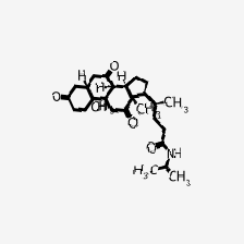 CC(C)NC(=O)CC[C@H](C)[C@@H]1CC[C@@H]2[C@H]3C(=O)C[C@H]4CC(=O)CC[C@@]4(C)[C@@H]3CC(=O)[C@]21C